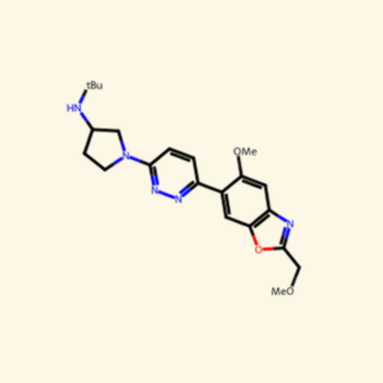 COCc1nc2cc(OC)c(-c3ccc(N4CCC(NC(C)(C)C)C4)nn3)cc2o1